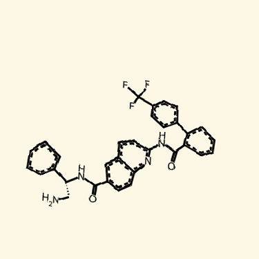 NC[C@@H](NC(=O)c1ccc2nc(NC(=O)c3ccccc3-c3ccc(C(F)(F)F)cc3)ccc2c1)c1ccccc1